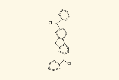 ClC(c1ccccc1)c1ccc2c(c1)Cc1cc(C(Cl)c3ccccc3)ccc1-2